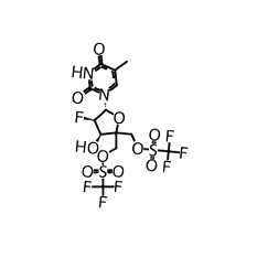 Cc1cn([C@@H]2OC(COS(=O)(=O)C(F)(F)F)(COS(=O)(=O)C(F)(F)F)[C@@H](O)[C@H]2F)c(=O)[nH]c1=O